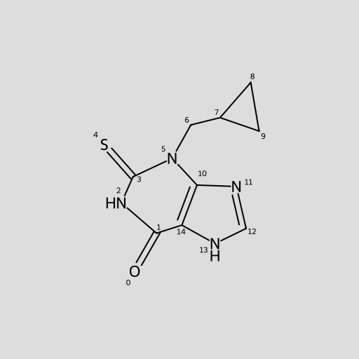 O=c1[nH]c(=S)n(CC2CC2)c2nc[nH]c12